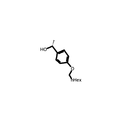 CCCCCCCOc1ccc([C@@H](C)O)cc1